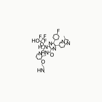 CNCCOc1cccnc1CNC(=O)c1nc(-c2ccc3ncc(C)n3c2)c(-c2ccc(F)cc2)nc1N.O=C(O)C(F)(F)F